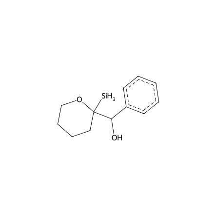 OC(c1ccccc1)C1([SiH3])CCCCO1